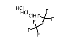 Cl.Cl.Cl.FC(F)(F)[P]C(F)(F)F